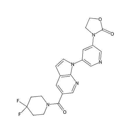 O=C(c1cnc2c(ccn2-c2cncc(N3CCOC3=O)c2)c1)N1CCC(F)(F)CC1